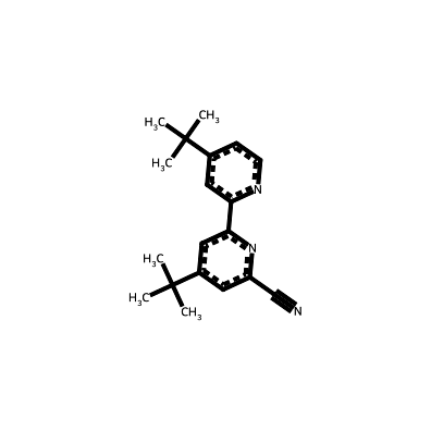 CC(C)(C)c1ccnc(-c2cc(C(C)(C)C)cc(C#N)n2)c1